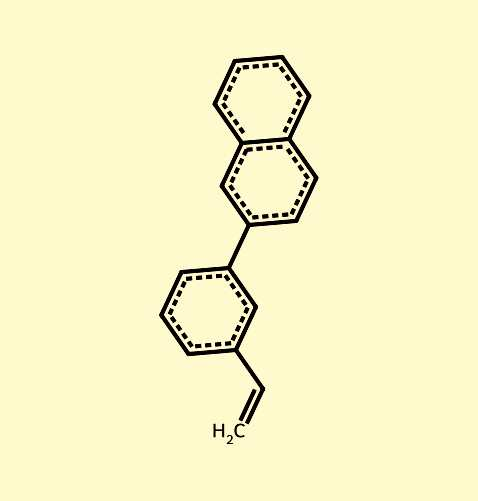 C=Cc1cccc(-c2ccc3ccccc3c2)c1